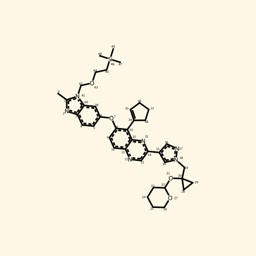 Cc1nc2ccc(Oc3ccc4ncc(-c5cnn(CC6(OC7CCCCO7)CC6)c5)nc4c3C3=CCCC3)cc2n1COCC[Si](C)(C)C